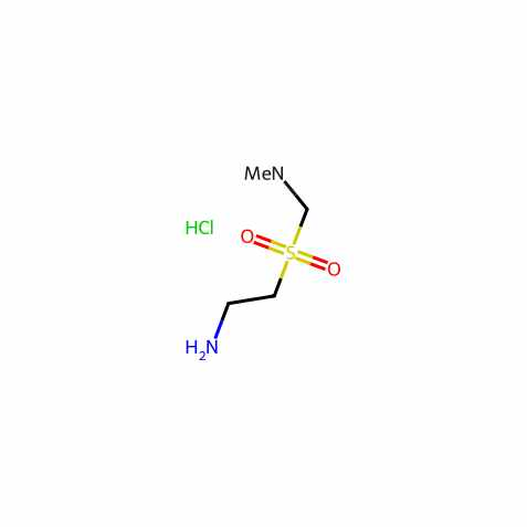 CNCS(=O)(=O)CCN.Cl